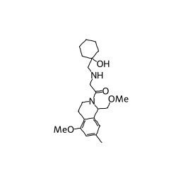 COCC1c2cc(C)cc(OC)c2CCN1C(=O)CNCC1(O)CCCCC1